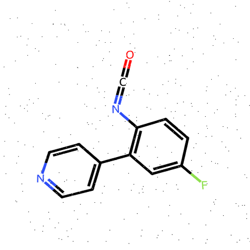 O=C=Nc1ccc(F)cc1-c1ccncc1